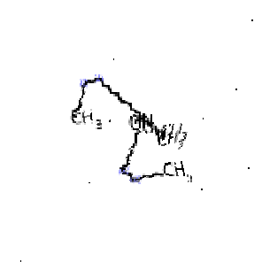 CCCCC/C=C\C/C=C\CCCCCCCCC(=NOCCN(C)C)OCCCCCCC/C=C\C/C=C\CCCCC